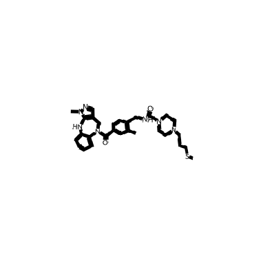 CSCCCN1CCN(C(=O)NCc2ccc(C(=O)N3Cc4cnn(C)c4Nc4ccccc43)cc2C)CC1